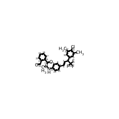 Cc1cc(C(/C=C/c2ccc(NN(C)C(=O)c3ccccc3C=O)cc2)C(F)(F)F)cc(C)c1Cl